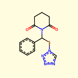 O=C1CCCC(=O)N1C(Sn1cnnn1)c1ccccc1